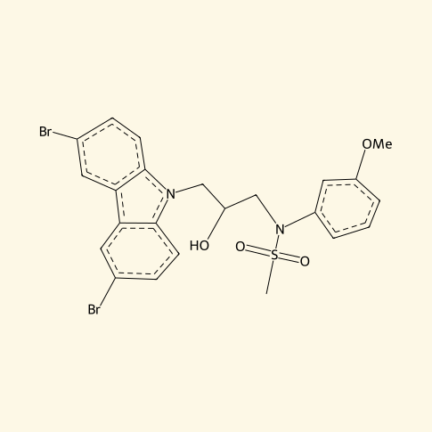 COc1cccc(N(CC(O)Cn2c3ccc(Br)cc3c3cc(Br)ccc32)S(C)(=O)=O)c1